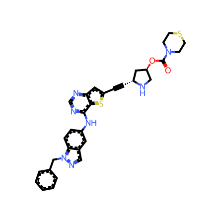 O=C(O[C@H]1CN[C@H](C#Cc2cc3ncnc(Nc4ccc5c(cnn5Cc5ccccc5)c4)c3s2)C1)N1CCSCC1